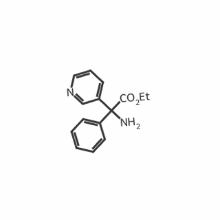 CCOC(=O)C(N)(c1ccccc1)c1cccnc1